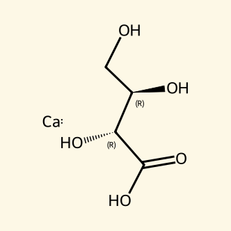 O=C(O)[C@H](O)[C@H](O)CO.[Ca]